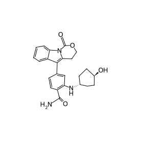 NC(=O)c1ccc(-c2c3n(c4ccccc24)C(=O)OCC3)cc1N[C@H]1CC[C@H](O)CC1